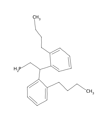 CCCCc1ccccc1C(CP)c1ccccc1CCCC